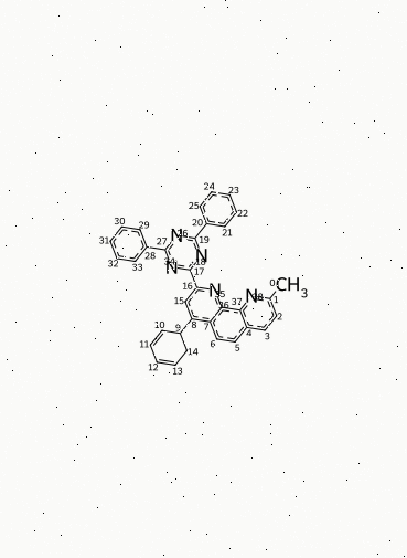 Cc1ccc2ccc3c(C4C=CC=CC4)cc(-c4nc(-c5ccccc5)nc(-c5ccccc5)n4)nc3c2n1